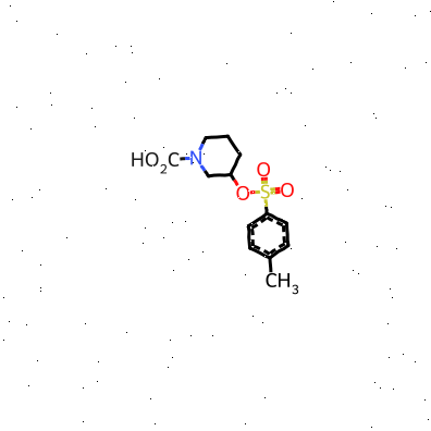 Cc1ccc(S(=O)(=O)OC2CCCN(C(=O)O)C2)cc1